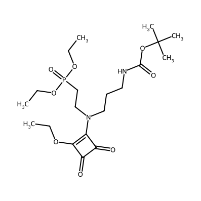 CCOc1c(N(CCCNC(=O)OC(C)(C)C)CCP(=O)(OCC)OCC)c(=O)c1=O